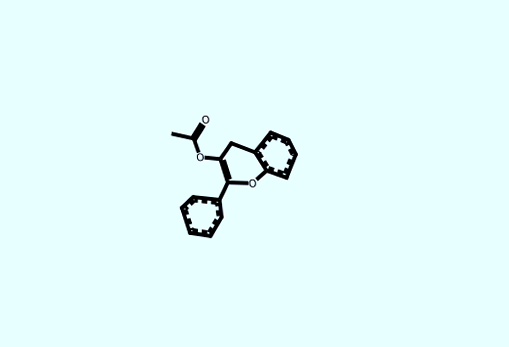 CC(=O)OC1=C(c2ccccc2)Oc2ccccc2C1